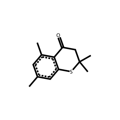 Cc1cc(C)c2c(c1)SC(C)(C)CC2=O